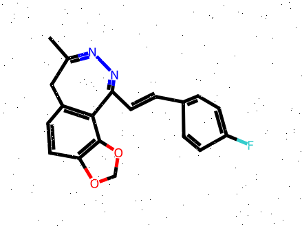 CC1=NN=C(C=Cc2ccc(F)cc2)c2c(ccc3c2OCO3)C1